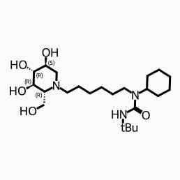 CC(C)(C)NC(=O)N(CCCCCCN1C[C@H](O)[C@@H](O)[C@H](O)[C@H]1CO)C1CCCCC1